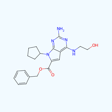 Nc1nc(NCCO)c2cc(C(=O)OCc3ccccc3)n(C3CCCC3)c2n1